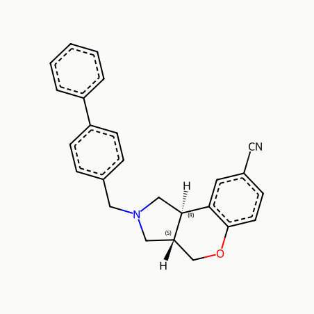 N#Cc1ccc2c(c1)[C@@H]1CN(Cc3ccc(-c4ccccc4)cc3)C[C@H]1CO2